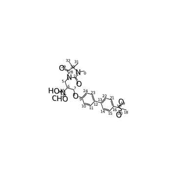 CN1C(=O)N(CC(COc2ccc(-c3ccc(S(C)(=O)=O)cc3)cc2)N(O)C=O)C(=O)C1(C)C